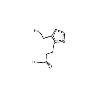 CC(C)C(=O)CCc1sccc1CO